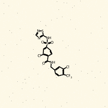 O=C(NCc1ccc(C(F)(F)F)c(Cl)c1)c1ccc(S(=O)(=O)Nc2ncns2)cc1Cl